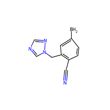 Bc1ccc(C#N)c(Cn2cncn2)c1